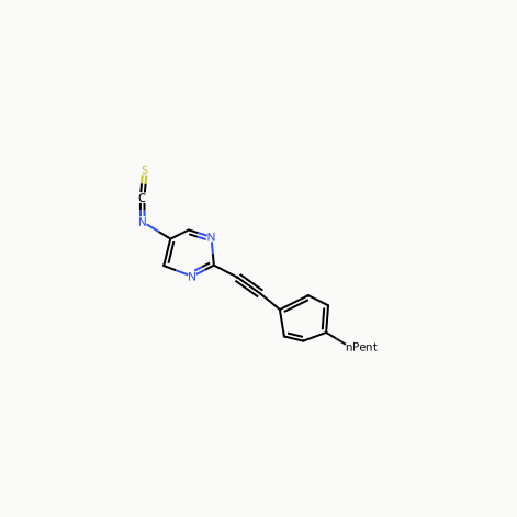 CCCCCc1ccc(C#Cc2ncc(N=C=S)cn2)cc1